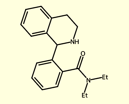 CCN(CC)C(=O)c1ccccc1C1NCCc2ccccc21